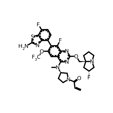 C=CC(=O)N1CC[C@@H](N(C)c2nc(OC[C@@]34CCCN3C[C@H](F)C4)nc3c(F)c(-c4ccc(F)c5sc(N)nc45)c(OC(F)(F)F)cc23)C1